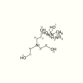 CN.CN.O=S(=O)(O)O.OCCN(CCO)CCO